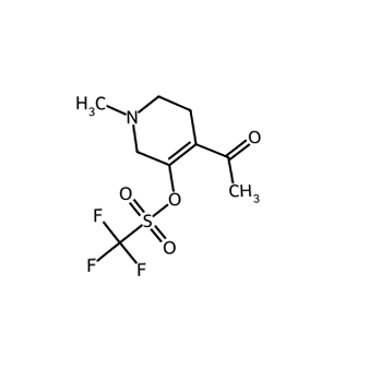 CC(=O)C1=C(OS(=O)(=O)C(F)(F)F)CN(C)CC1